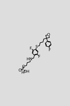 O=[PH](O)OCCCNCc1cc(F)c(SCCCCC2(c3ccc(F)cc3)COC2)cc1F